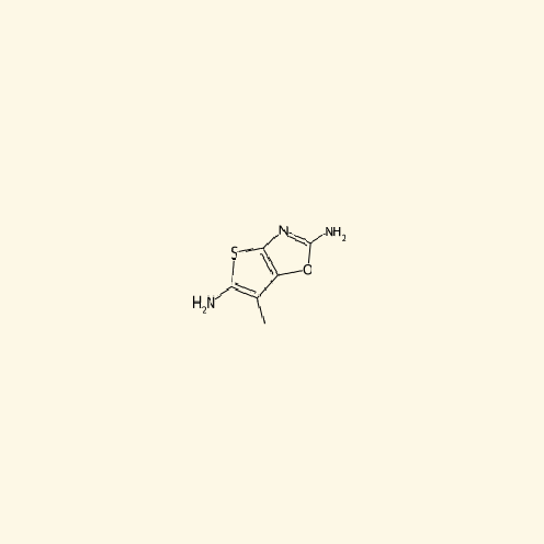 Cc1c(N)sc2nc(N)oc12